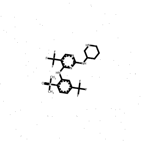 CP(C)(=O)c1ccc(C(F)(F)F)cc1Nc1nc(NC2CCCNC2)ncc1C(F)(F)F